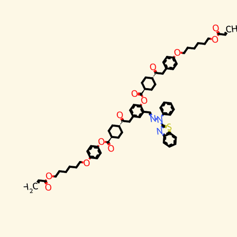 C=CC(=O)OCCCCCCOc1ccc(CC(=O)[C@H]2CC[C@H](C(=O)Oc3ccc(CC(=O)[C@H]4CC[C@H](C(=O)Oc5ccc(OCCCCCCOC(=O)C=C)cc5)CC4)cc3/C=N/N(c3ccccc3)c3nc4ccccc4s3)CC2)cc1